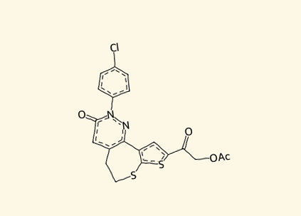 CC(=O)OCC(=O)c1cc2c(s1)SCCc1cc(=O)n(-c3ccc(Cl)cc3)nc1-2